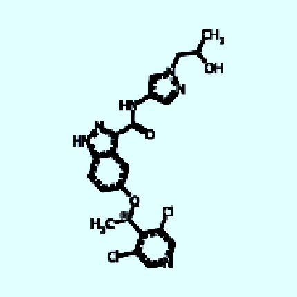 CC(O)Cn1cc(NC(=O)c2n[nH]c3ccc(O[C@H](C)c4c(Cl)cncc4Cl)cc23)cn1